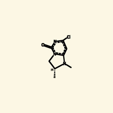 C[C@@H]1Cn2c(cc(Cl)nc2=O)N1C